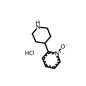 Cl.[O-][n+]1ccccc1C1CCNCC1